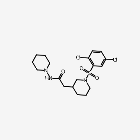 O=C(CC1CCCN(S(=O)(=O)c2cc(Cl)ccc2Cl)C1)NN1CCCCC1